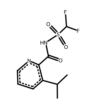 CC(C)c1cccnc1C(=O)NS(=O)(=O)C(F)F